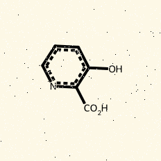 O=C(O)c1n[c]ccc1O